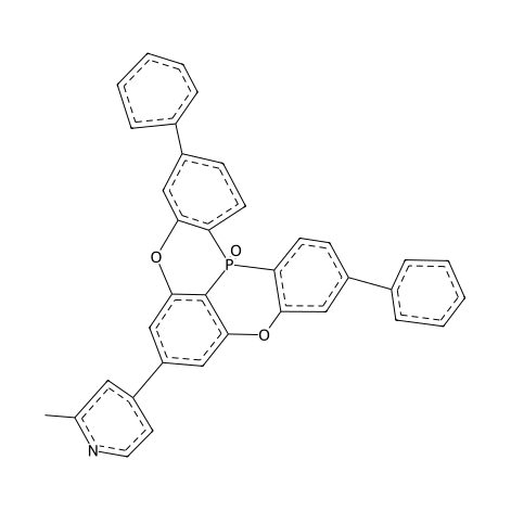 Cc1cc(-c2cc3c4c(c2)Oc2cc(-c5ccccc5)ccc2P4(=O)c2ccc(-c4ccccc4)cc2O3)ccn1